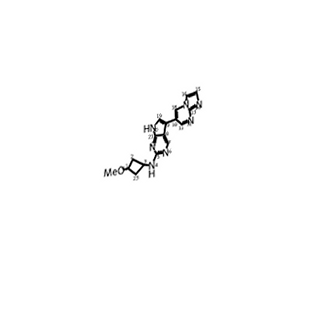 COC1CC(Nc2ncc3c(-c4cnc5nccn5c4)c[nH]c3n2)C1